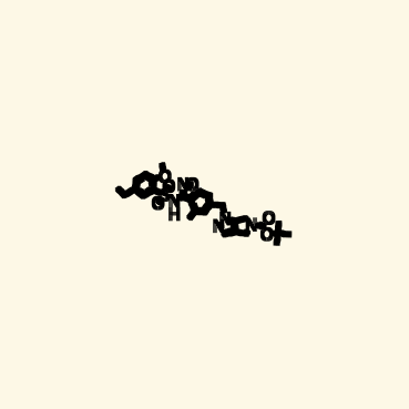 CCc1ccc(OC)c(S(=O)(=O)Nc2noc3cc(Cn4ncc5c4CN(C(=O)OC(C)(C)C)C5)cc(C)c23)c1